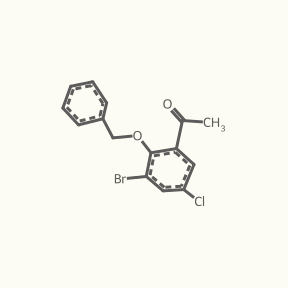 CC(=O)c1cc(Cl)cc(Br)c1OCc1ccccc1